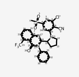 CS(=O)(=O)c1nc(Cl)c(C#N)c(N2CCCC2c2nc3cccc(C(F)(F)F)c3c(=O)n2-c2ccccc2)n1